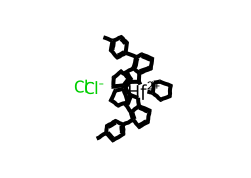 Cc1ccc(-c2cccc3c2C=C(C2CCCC2)[CH]3[Hf+2]2([CH]3C(C4CCCC4)=Cc4c(-c5ccc(C)cc5)cccc43)[CH]3CCCC[CH]32)cc1.[Cl-].[Cl-]